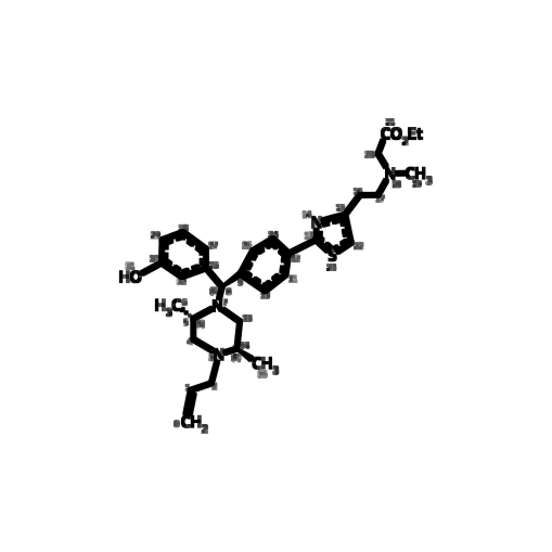 C=CCN1C[C@H](C)N([C@H](c2ccc(-c3nc(CCN(C)CC(=O)OCC)cs3)cc2)c2cccc(O)c2)C[C@H]1C